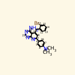 CN(C)c1ccc(-c2cc(Cc3ccccc3Br)c3c(N)ncnc3n2)cc1